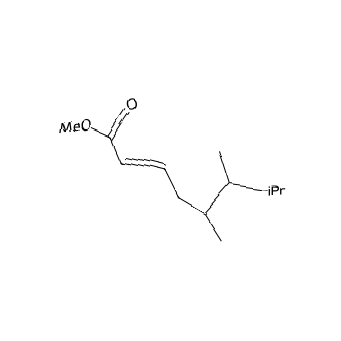 COC(=O)C=CCC(C)C(C)C(C)C